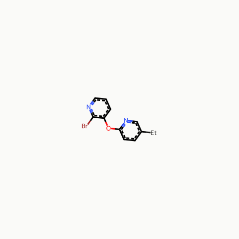 CCc1ccc(Oc2cccnc2Br)nc1